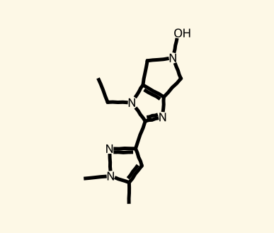 CCn1c(-c2cc(C)n(C)n2)nc2c1CN(O)C2